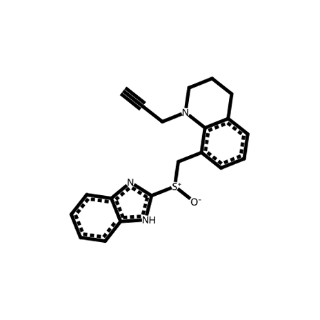 C#CCN1CCCc2cccc(C[S+]([O-])c3nc4ccccc4[nH]3)c21